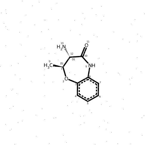 C[C@@H]1Oc2ccccc2NC(=O)[C@H]1N